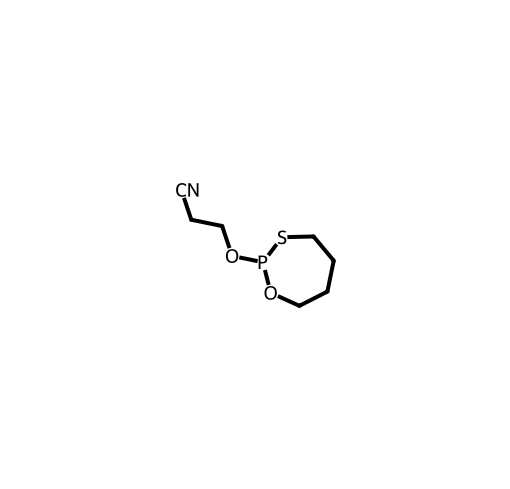 N#CCCOP1OCCCCS1